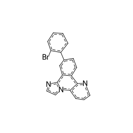 Brc1ccccc1-c1ccc2c(c1)c1nccn1c1cccnc21